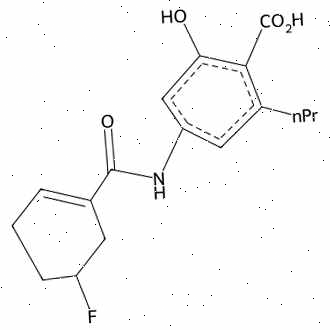 CCCc1cc(NC(=O)C2=CCCC(F)C2)cc(O)c1C(=O)O